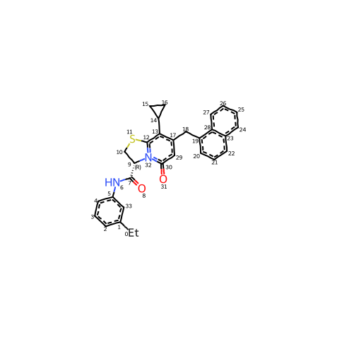 CCc1cccc(NC(=O)[C@@H]2CSc3c(C4CC4)c(Cc4cccc5ccccc45)cc(=O)n32)c1